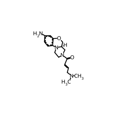 CN(C)C/C=C/C(=O)N1CCN2c3ccc(N)cc3OC[C@H]2C1